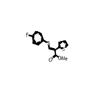 COC(=O)C(=CSc1ccc(F)cc1)c1cccs1